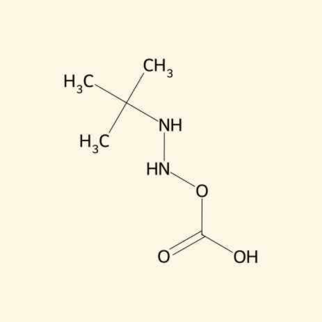 CC(C)(C)NNOC(=O)O